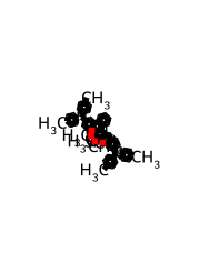 Cc1ccc(N(c2ccc(C)cc2)c2ccc3cc4c(cc3c2)C([Si](C)(C)C)([Si](C)(C)C)c2c-4c3ccccc3c3cc(N(c4ccc(C)cc4)c4ccc(C)cc4)ccc23)cc1